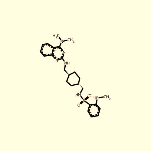 CBc1ccccc1S(=O)(=O)NC[C@H]1CC[C@H](CNc2nc(N(C)C)c3ccccc3n2)CC1